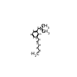 [CH2]CCCSCc1cccc(CN(C)C)c1